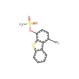 O=[N+]([O-])c1ccc(OS(=O)(=O)C(F)(F)F)c2sc3ccccc3c12